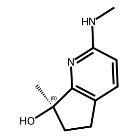 CNc1ccc2c(n1)[C@](C)(O)CC2